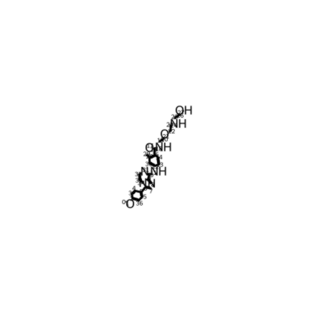 COc1ccc(-c2cnc3c(Nc4ccc(C(=O)NCCOCCNCCO)c(C)c4)nccn23)cc1